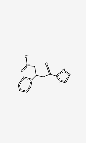 O=C(CC(C[N+](=O)[O-])c1ccccc1)c1nccs1